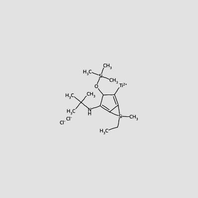 CC[Si]1(C)C2=[C]([Ti+2])C(O[Si](C)(C)C)C(NC(C)(C)C)=C21.[Cl-].[Cl-]